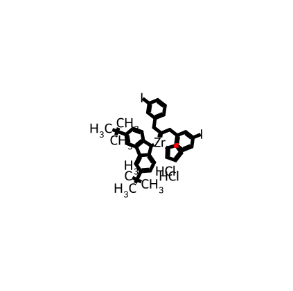 CC(C)(C)c1ccc2c(c1)-c1cc(C(C)(C)C)ccc1[CH]2[Zr]([C]1=CC=CC1)=[C](Cc1cccc(I)c1)Cc1cccc(I)c1.Cl.Cl